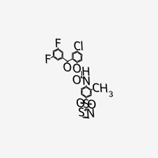 Cc1cc(S(=O)(=O)c2nccs2)ccc1NC(=O)COc1ccc(Cl)cc1C(=O)c1cc(F)cc(F)c1